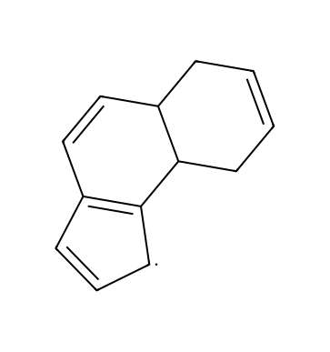 [CH]1C=CC2=C1C1CC=CCC1C=C2